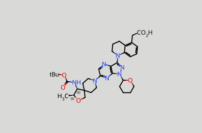 C[C@@H]1OCC2(CCN(c3cnc4c(N5CCCc6c(CC(=O)O)cccc65)nn(C5CCCCO5)c4n3)CC2)[C@@H]1NC(=O)OC(C)(C)C